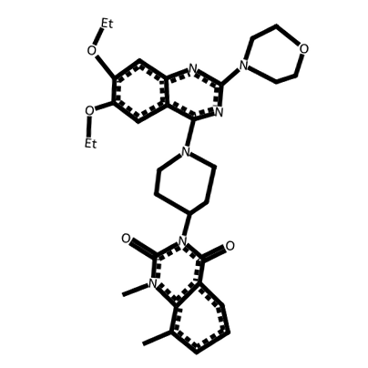 CCOc1cc2nc(N3CCOCC3)nc(N3CCC(n4c(=O)c5cccc(C)c5n(C)c4=O)CC3)c2cc1OCC